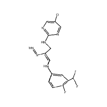 N=N/C(=C\Nc1ccc(F)c(C(F)F)c1)CNc1ncc(Cl)cn1